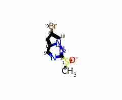 C[S+]([O-])c1ncc2cc(Br)cn2n1